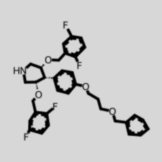 Fc1ccc(F)c(CO[C@H]2CNC[C@@H](OCc3cc(F)ccc3F)[C@H]2c2ccc(OCCCOCc3ccccc3)cc2)c1